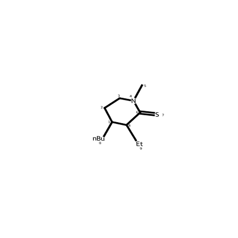 CCCCC1CCN(C)C(=S)C1CC